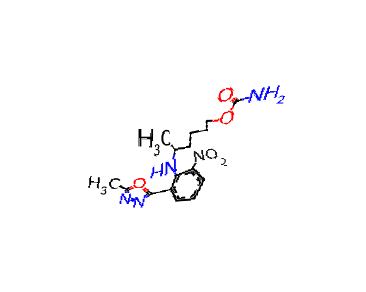 Cc1nnc(-c2cccc([N+](=O)[O-])c2N[C@@H](C)CCCCOC(N)=O)o1